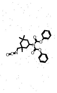 CC1(C)CC(N(C(=O)Oc2ccccc2)C(=O)Oc2ccccc2)CC(C)(CN=C=O)C1